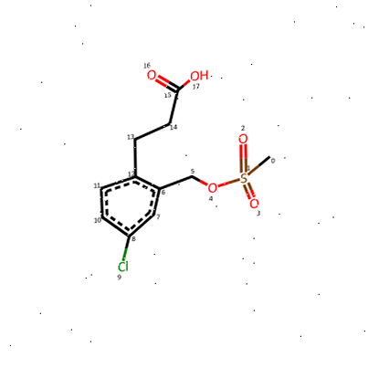 CS(=O)(=O)OCc1cc(Cl)ccc1CCC(=O)O